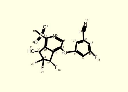 CS(=O)(=O)c1ncc(Oc2cc(F)cc(C#N)c2)c2c1[C@H](O)C(F)(F)[C@@H]2F